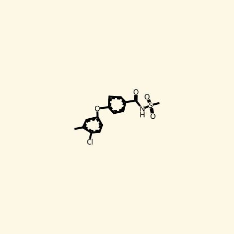 Cc1cc(Oc2ccc(C(=O)NS(C)(=O)=O)cc2)ccc1Cl